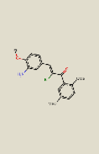 CCOc1ccc(C=C(Br)C(=O)c2cc(OC)ccc2OC)cc1N